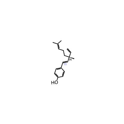 C=C[C@](C)(/C=C/c1ccc(O)cc1)CCC=C(C)C